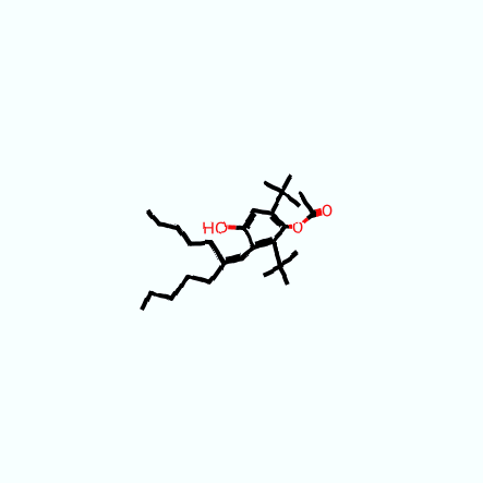 CCCCCC(=Cc1c(O)cc(C(C)(C)C)c(OC(C)=O)c1C(C)(C)C)CCCCC